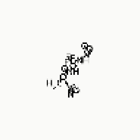 Cc1ccc(C(=O)Nc2ccc(CNCCN3CCOC(=O)C3)c(C(F)(F)F)c2)cc1C#Cc1cnc2cccnn12